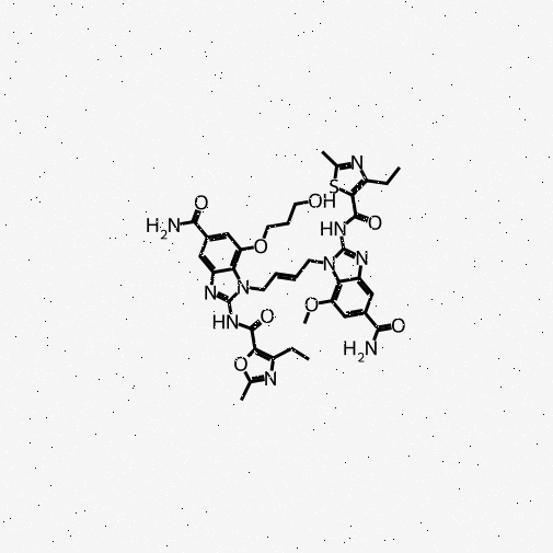 CCc1nc(C)oc1C(=O)Nc1nc2cc(C(N)=O)cc(OCCCO)c2n1CC=CCn1c(NC(=O)c2sc(C)nc2CC)nc2cc(C(N)=O)cc(OC)c21